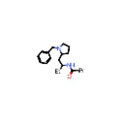 CCC(CC1CCCN1Cc1ccccc1)NC(=O)C(C)C